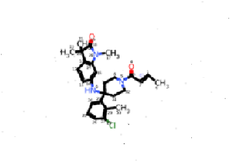 C/C=C/C(=O)N1CCC(Nc2ccc3c(c2)N(C)C(=O)C3(C)C)(c2cccc(Cl)c2C)CC1